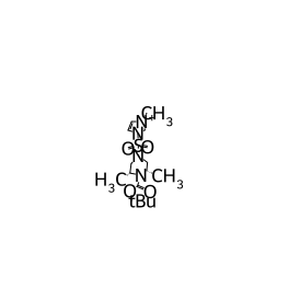 C[C@@H]1CN(S(=O)(=O)n2cc[n+](C)c2)C[C@H](C)N1C(=O)OC(C)(C)C